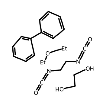 CCOCC.O=C=NCCN=C=O.OCCO.c1ccc(-c2ccccc2)cc1